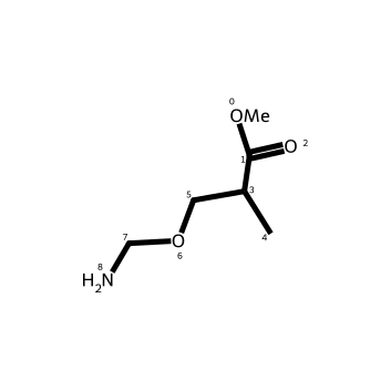 COC(=O)C(C)COCN